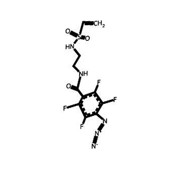 C=CS(=O)(=O)NCCNC(=O)c1c(F)c(F)c(N=[N+]=[N-])c(F)c1F